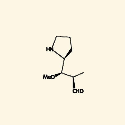 CO[C@@H]([C@@H]1CCCN1)[C@@H](C)C=O